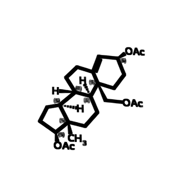 CC(=O)OC[C@]12CC[C@H](OC(C)=O)C=C1CC[C@@H]1[C@@H]2CC[C@]2(C)[C@@H](OC(C)=O)CC[C@@H]12